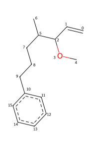 C=CC(OC)C(C)CCCc1ccccc1